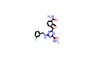 NC(=O)c1nc(NCc2cccc(F)c2)nc(-c2occ3c(C(N)=O)cccc23)n1